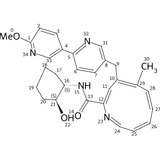 COc1ccc(-c2ccc(Cc3cc(C(=O)N[C@H]4CCCC[C@@H]4O)ncccccc3C)cn2)cn1